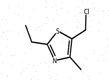 CCc1nc(C)c(CCl)s1